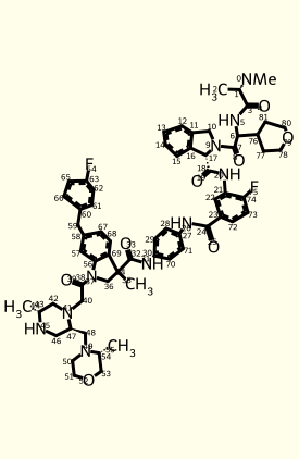 CN[C@@H](C)C(=O)NC(C(=O)N1Cc2ccccc2[C@H]1C(=O)Nc1cc(C(=O)Nc2ccc(NC(=O)C3(C)CN(C(=O)CN4C[C@@H](C)NC[C@@H]4CN4CCOC[C@H]4C)c4cc(Cc5ccc(F)cc5)ccc43)cc2)ccc1F)C1CCOCC1